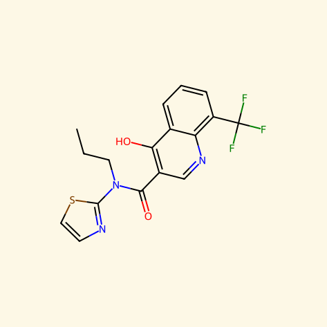 CCCN(C(=O)c1cnc2c(C(F)(F)F)cccc2c1O)c1nccs1